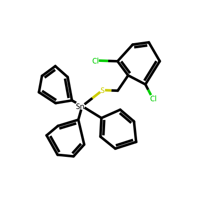 Clc1cccc(Cl)c1C[S][Sn]([c]1ccccc1)([c]1ccccc1)[c]1ccccc1